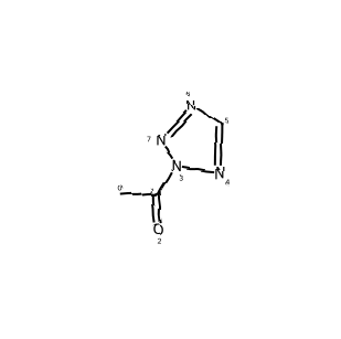 CC(=O)n1ncnn1